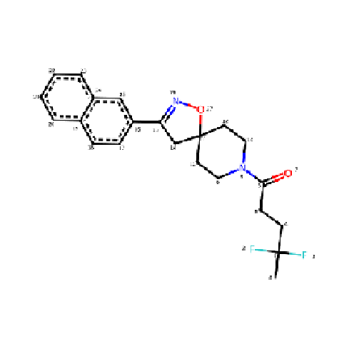 CC(F)(F)CCC(=O)N1CCC2(CC1)CC(c1ccc3ccccc3c1)=NO2